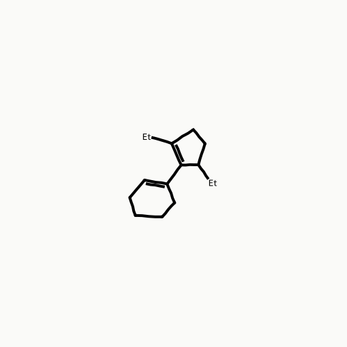 CCC1=C(C2=CCCCC2)C(CC)CC1